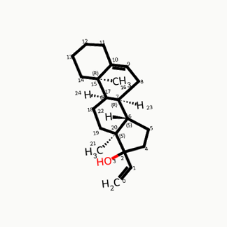 C=CC1(O)CC[C@H]2[C@@H]3CC=C4CCCC[C@]4(C)[C@@H]3CC[C@@]21C